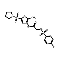 Cc1sc(S(=O)(=O)N2CCCC2)cc1NC(=O)CNS(=O)(=O)c1ccc(F)cc1